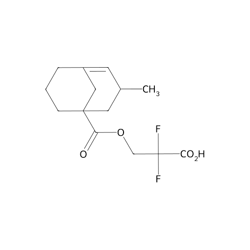 CC1C=C2CCCC(C(=O)OCC(F)(F)C(=O)O)(C2)C1